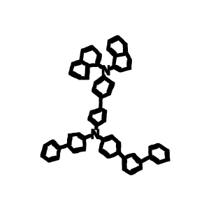 c1ccc(-c2ccc(N(c3ccc(-c4ccc(N(c5cccc6ccccc56)c5cccc6ccccc56)cc4)cc3)c3ccc(-c4cccc(-c5ccccc5)c4)cc3)cc2)cc1